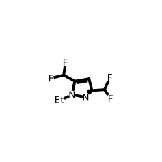 CCn1nc(C(F)F)cc1C(F)F